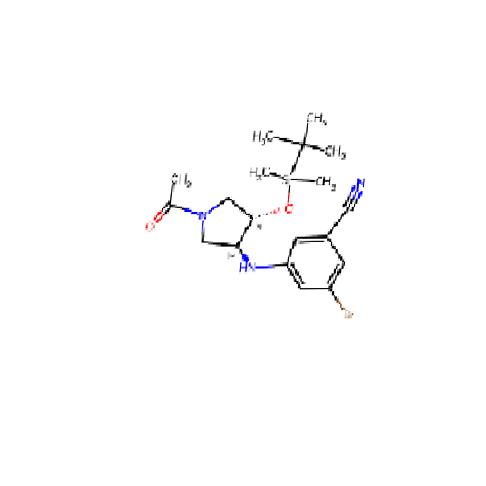 CC(=O)N1C[C@H](Nc2cc(Br)cc(C#N)c2)[C@@H](O[Si](C)(C)C(C)(C)C)C1